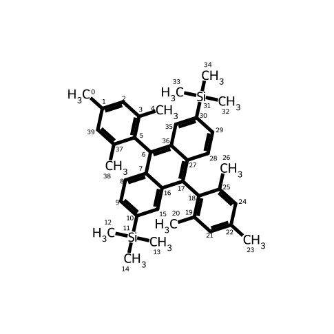 Cc1cc(C)c(-c2c3ccc([Si](C)(C)C)cc3c(-c3c(C)cc(C)cc3C)c3ccc([Si](C)(C)C)cc23)c(C)c1